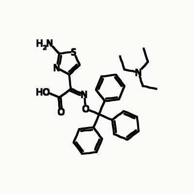 CCN(CC)CC.Nc1nc(C(=NOC(c2ccccc2)(c2ccccc2)c2ccccc2)C(=O)O)cs1